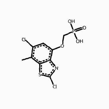 Cc1c(Cl)cc(OCP(=O)(O)O)c2nc(Cl)sc12